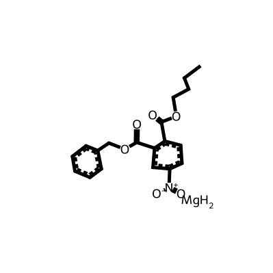 CCCCOC(=O)c1ccc([N+](=O)[O-])cc1C(=O)OCc1ccccc1.[MgH2]